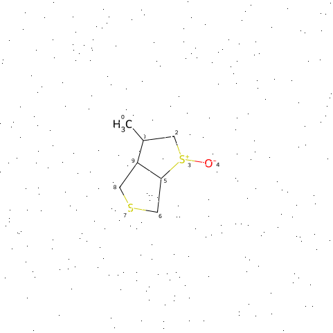 CC1C[S+]([O-])C2CSCC12